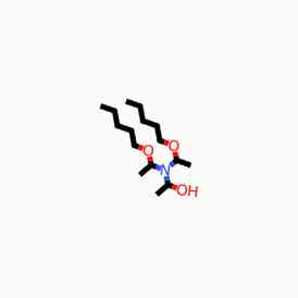 CCCCCOC(C)N(C(C)O)C(C)OCCCCC